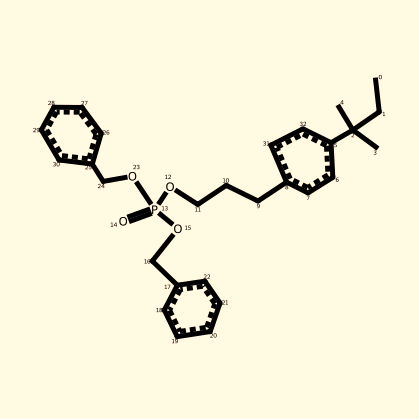 CCC(C)(C)c1ccc(CCCOP(=O)(OCc2ccccc2)OCc2ccccc2)cc1